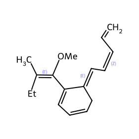 C=C/C=C\C=C1/CC=CC=C1/C(OC)=C(/C)CC